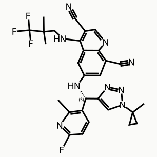 Cc1nc(F)ccc1[C@H](Nc1cc(C#N)c2ncc(C#N)c(NCC(C)(C)C(F)(F)F)c2c1)c1cn(C2(C)CC2)nn1